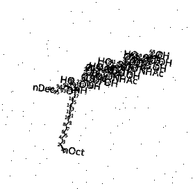 CCCCCCCC/C=C\CCCCCCCCCCCCCCCC(=O)N[C@@H](CO[C@@H]1OC(CO)[C@@H](O[C@@H]2OC(CO)[C@H](O[C@@H]3OC(CO)[C@H](O)[C@H](O[C@@H]4OC(CO)[C@H](O)[C@H](O[C@@H]5OC(CO)[C@@H](O)[C@H](O[C@H]6OC(C)[C@@H](O)C(O)[C@@H]6O)C5NC(C)=O)C4O)C3NC(C)=O)[C@H](O)C2O)[C@H](O)C1O)[C@H](O)/C=C/CCCCCCCCCCCCC